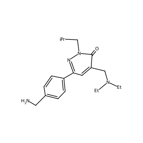 CCN(CC)Cc1cc(-c2ccc(CN)cc2)nn(CC(C)C)c1=O